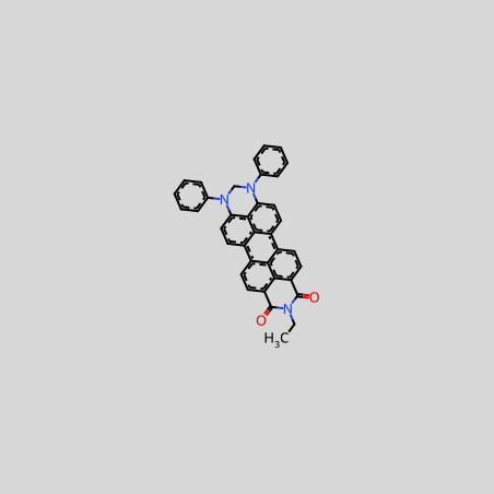 CCN1C(=O)c2ccc3c4ccc5c6c(ccc(c7ccc(c2c37)C1=O)c64)N(c1ccccc1)CN5c1ccccc1